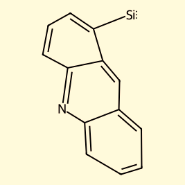 [Si]c1cccc2nc3ccccc3cc12